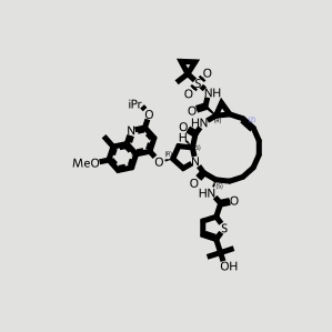 COc1ccc2c(O[C@@H]3C[C@H]4C(=O)N[C@]5(C(=O)NS(=O)(=O)C6(C)CC6)CC5/C=C\CCCCC[C@H](NC(=O)C5CC=C(C(C)(C)O)S5)C(=O)N4C3)cc(OC(C)C)nc2c1C